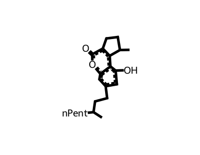 CCCCCC(C)CCc1cc(O)c2c3c(c(=O)oc2c1)CCC3C